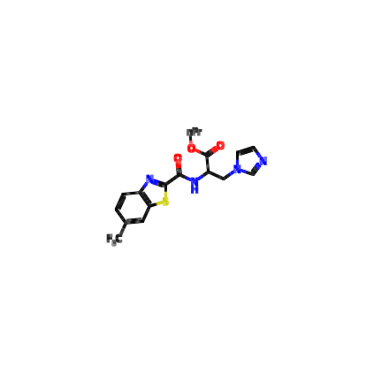 CCCOC(=O)C(Cn1ccnc1)NC(=O)c1nc2ccc(C(F)(F)F)cc2s1